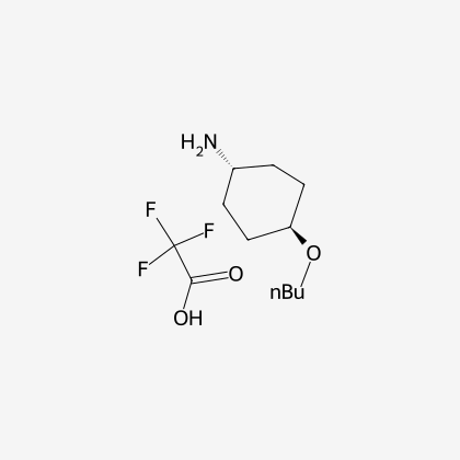 CCCCO[C@H]1CC[C@H](N)CC1.O=C(O)C(F)(F)F